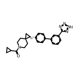 O=C(C1CC1)N1CCC2(CC1)C[C@@H]2c1ccc(-c2cccc(-c3nn[nH]n3)c2)cc1